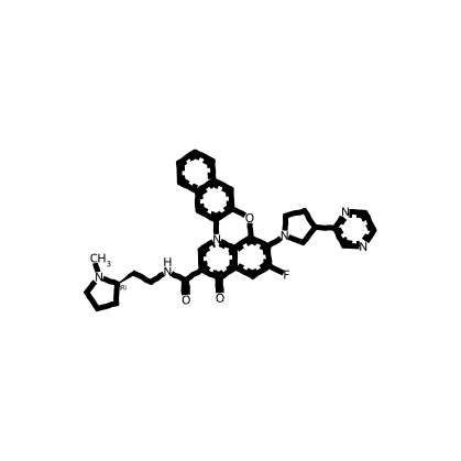 CN1CCC[C@@H]1CCNC(=O)c1cn2c3c(c(N4CCC(c5cnccn5)C4)c(F)cc3c1=O)Oc1cc3ccccc3cc1-2